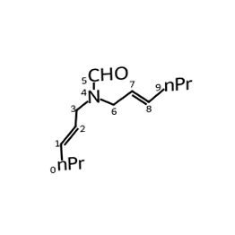 CCCC=CCN(C=O)CC=CCCC